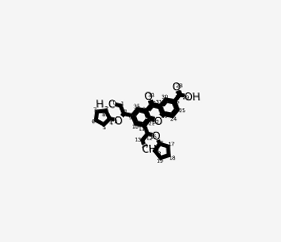 CCC(OC1CCCC1)c1cc(C(CC)OC2CCCC2)c2oc3ccc(C(=O)O)cc3c(=O)c2c1